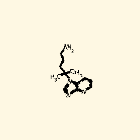 CC(C)(CCCN)n1cnc2ncccc21